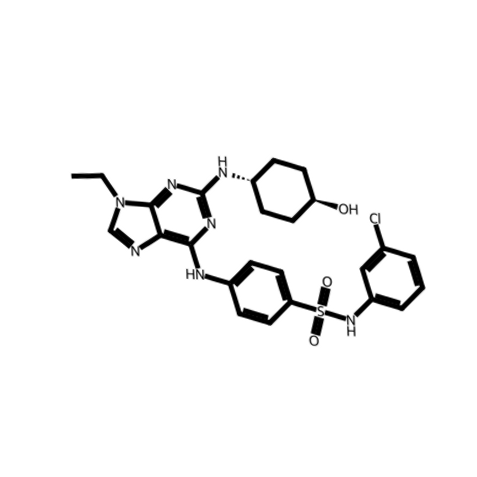 CCn1cnc2c(Nc3ccc(S(=O)(=O)Nc4cccc(Cl)c4)cc3)nc(N[C@H]3CC[C@H](O)CC3)nc21